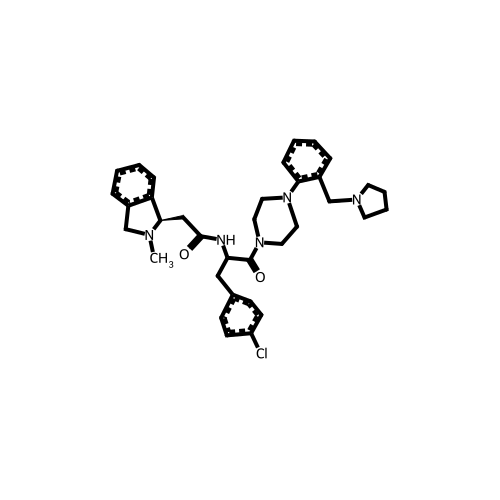 CN1Cc2ccccc2[C@H]1CC(=O)NC(Cc1ccc(Cl)cc1)C(=O)N1CCN(c2ccccc2CN2CCCC2)CC1